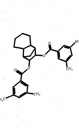 Cc1cc(C)cc(C(=O)OC2C3CC(C4CCCCC43)C2OC(=O)c2cc(C)cc(N)c2)c1